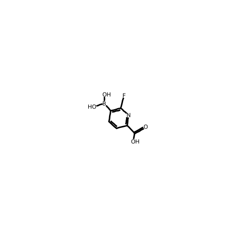 O=C(O)c1ccc(B(O)O)c(F)n1